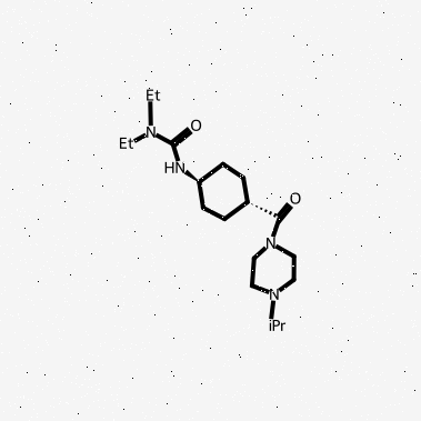 CCN(CC)C(=O)N[C@H]1CC[C@H](C(=O)N2CCN(C(C)C)CC2)CC1